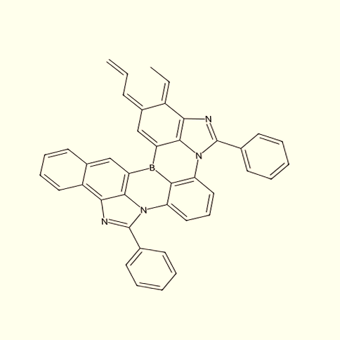 C=C/C=c1/cc2c3c(nc(-c4ccccc4)n3-c3cccc4c3B2c2cc3ccccc3c3nc(-c5ccccc5)n-4c23)/c1=C/C